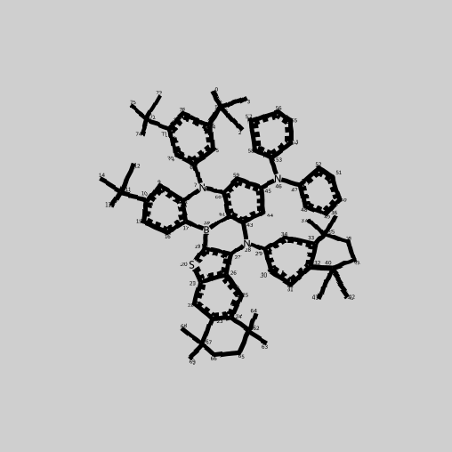 CC(C)(C)c1cc(N2c3cc(C(C)(C)C)ccc3B3c4sc5cc6c(cc5c4N(c4ccc5c(c4)C(C)(C)CCC5(C)C)c4cc(N(c5ccccc5)c5ccccc5)cc2c43)C(C)(C)CCC6(C)C)cc(C(C)(C)C)c1